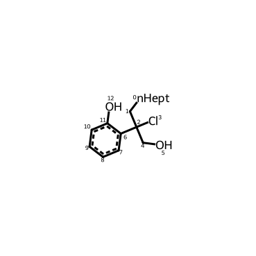 CCCCCCCCC(Cl)(CO)c1ccccc1O